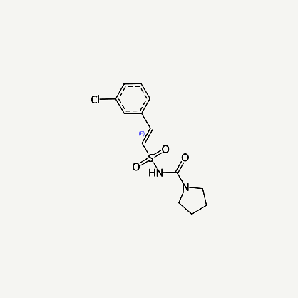 O=C(NS(=O)(=O)/C=C/c1cccc(Cl)c1)N1CCCC1